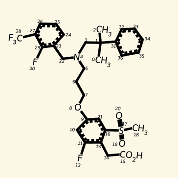 CC(C)(CN(CCCOc1cc(F)c(CC(=O)O)c(S(C)(=O)=O)c1)Cc1cccc(C(F)(F)F)c1F)c1ccccc1